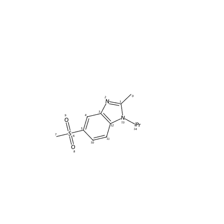 Cc1nc2cc(S(C)(=O)=O)ccc2n1C(C)C